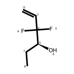 C=CC(F)(F)[C@@H](O)CC